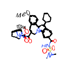 COc1ccc2c(c1)C=C(C(=O)N1CC3CCC(C1)N3C(=O)OC(C)(C)C)Cn1c-2c(C2CCCCC2)c2ccc(C(=O)NS(=O)(=O)N(C)C)cc21